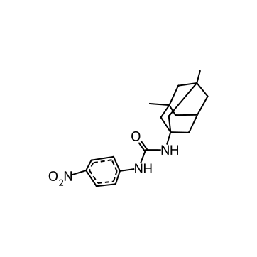 CC12CC3CC(C)(C1)CC(NC(=O)Nc1ccc([N+](=O)[O-])cc1)(C3)C2